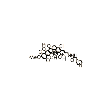 COC1=CC(=O)c2c(O)c3c(c(O)c2C1=O)C(=O)[C@]1(CCc2c1c(O)c1c(=O)[nH]c(/C=N/NC(=O)CN4CCN(C)CC4)cc1c2Cl)C3=O